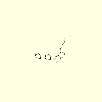 C=C/N=C1/NCCC(C(=O)NCCCOC)=C/C1=C(/N)Nc1ccc(Oc2ccc(C)nc2)c(C)c1